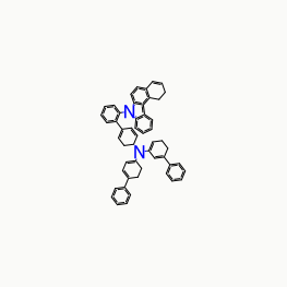 C1=Cc2ccc3c(c2CC1)c1ccccc1n3-c1ccccc1C1=CCC(N(C2=CCCC(c3ccccc3)=C2)C2=CC=C(c3ccccc3)CC2)C=C1